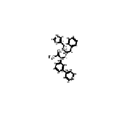 O=C(N(C[C@@H](Cc1ccccc1)NCc1cncs1)c1cccc(-c2ccncc2)c1)C(F)(F)F